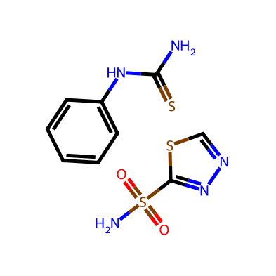 NC(=S)Nc1ccccc1.NS(=O)(=O)c1nncs1